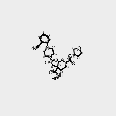 N#Cc1ccccc1N1CCN(S(=O)(=O)CC2(C(=O)NO)CCN(C(=O)O[C@H]3CCOC3)CC2)CC1